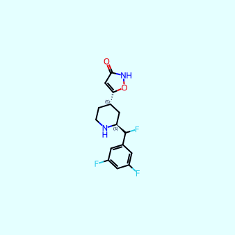 O=c1cc([C@H]2CCN[C@H](C(F)c3cc(F)cc(F)c3)C2)o[nH]1